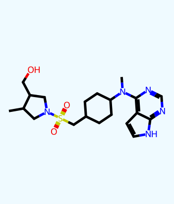 CC1CN(S(=O)(=O)CC2CCC(N(C)c3ncnc4[nH]ccc34)CC2)CC1CO